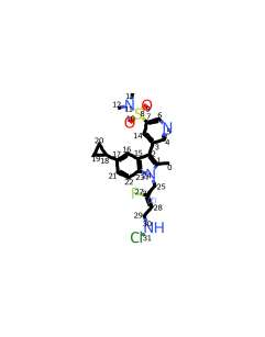 Cc1c(-c2cncc(S(=O)(=O)N(C)C)c2)c2cc(C3CC3)ccc2n1C/C(F)=C/CNCl